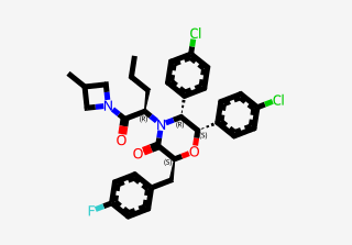 CCC[C@H](C(=O)N1CC(C)C1)N1C(=O)[C@H](Cc2ccc(F)cc2)O[C@@H](c2ccc(Cl)cc2)[C@H]1c1ccc(Cl)cc1